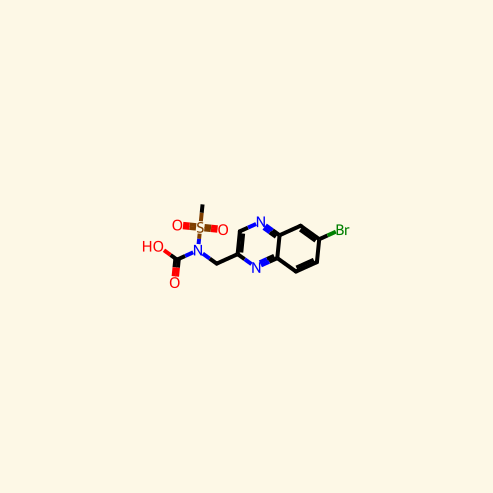 CS(=O)(=O)N(Cc1cnc2cc(Br)ccc2n1)C(=O)O